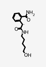 NC(=O)c1ccccc1[CH]C(=O)NCCCCCO